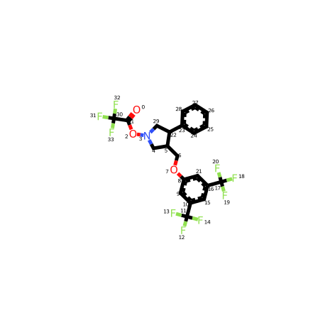 O=C(ON1CC(COc2cc(C(F)(F)F)cc(C(F)(F)F)c2)C(c2ccccc2)C1)C(F)(F)F